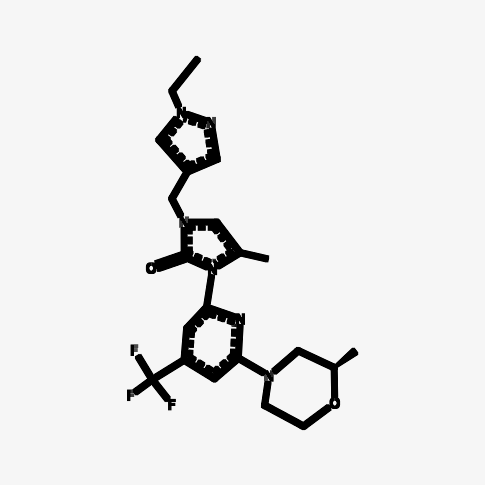 CCn1cc(Cn2cc(C)n(-c3cc(C(F)(F)F)cc(N4CCO[C@H](C)C4)n3)c2=O)cn1